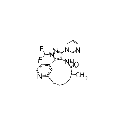 CC1CCCCc2cc(ccn2)-c2c(c(N3C=NC=CC3)nn2C(F)F)NC1=O